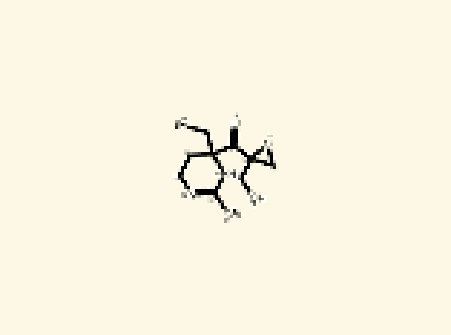 CC(C)CC1(C(=O)C2(CO)CO2)CCN=C(C(C)(C)C)N1